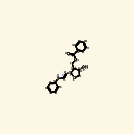 O=C(OC[C@H]1[C@H](O)CO[C@@H]1/C=C/Sc1ccccc1)c1ccccc1